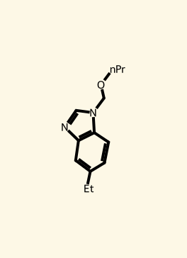 CCCOCn1cnc2cc(CC)ccc21